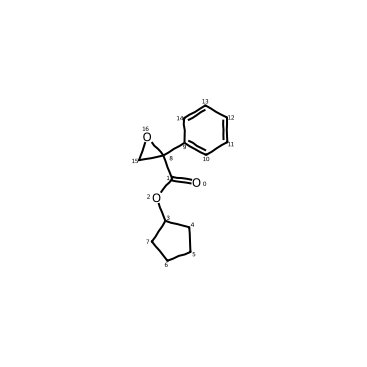 O=C(OC1CCCC1)C1(c2ccccc2)CO1